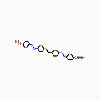 CCOc1ccc(N=Nc2ccc(C=Cc3ccc(N=Nc4ccc(OC)cc4)cc3)cc2)cc1